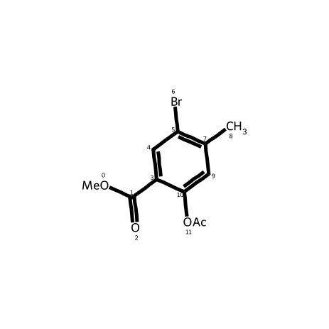 COC(=O)c1cc(Br)c(C)cc1OC(C)=O